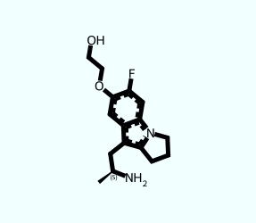 C[C@H](N)Cc1c2n(c3cc(F)c(OCCO)cc13)CCC2